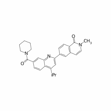 CC(C)c1cc(-c2ccc3c(=O)n(C)ccc3c2)nc2cc(C(=O)N3CCCCC3)ccc12